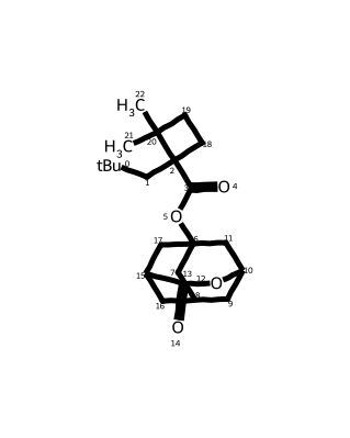 CC(C)(C)CC1(C(=O)OC23CC4CC(C2)OC(=O)C(C4)C3)CCC1(C)C